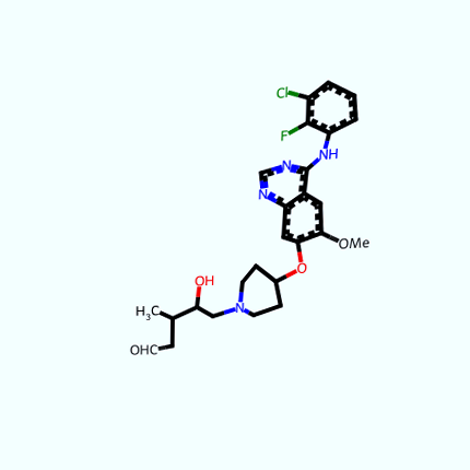 COc1cc2c(Nc3cccc(Cl)c3F)ncnc2cc1OC1CCN(CC(O)C(C)CC=O)CC1